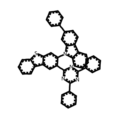 c1ccc(-c2ccc3c4ccccc4n(-c4cc5sc6ccccc6c5cc4-c4nc(-c5ccccc5)nc(-c5ccccc5)n4)c3c2)cc1